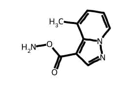 Cc1cccn2ncc(C(=O)ON)c12